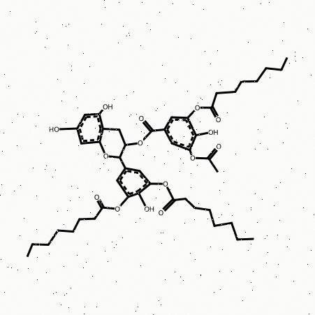 CCCCCCCC(=O)Oc1cc(C(=O)OC2Cc3c(O)cc(O)cc3OC2c2cc(OC(=O)CCCCCCC)c(O)c(OC(=O)CCCCCCC)c2)cc(OC(C)=O)c1O